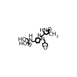 Cc1cc(-c2nc3cc(CNC(CO)C(=O)O)ccc3n2CC2CCOCC2)c[nH]c1=O